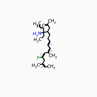 C=C(C)CC(CC/C=C/C=C(C)\C=C(\F)C/C(C)=C\C)C(N)(CC)CCC